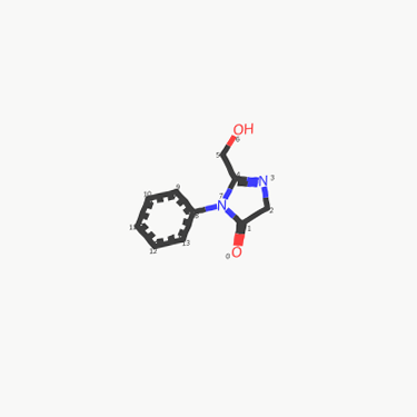 O=C1CN=C(CO)N1c1ccccc1